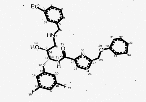 CCc1cccc(CNC[C@H](O)[C@@H](Cc2cc(F)cc(F)c2)NC(=O)c2csc(COc3ccccc3)n2)c1